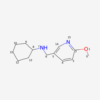 COc1ccc(CNC2CCCCC2)cn1